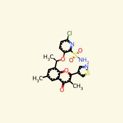 Cc1cc([C@@H](C)Oc2ccc(Cl)nc2S(N)(=O)=O)c2oc(-c3cnsc3)c(C)c(=O)c2c1